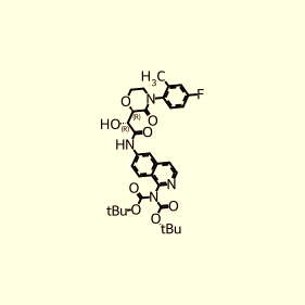 Cc1cc(F)ccc1N1CCO[C@H]([C@@H](O)C(=O)Nc2ccc3c(N(C(=O)OC(C)(C)C)C(=O)OC(C)(C)C)nccc3c2)C1=O